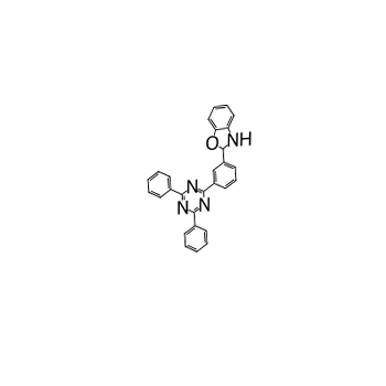 c1ccc(-c2nc(-c3ccccc3)nc(-c3cccc(C4Nc5ccccc5O4)c3)n2)cc1